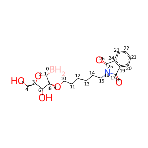 B[C@@H]1O[C@H](CO)C(O)[C@@H]1OCCCCCCN1C(=O)c2ccccc2C1=O